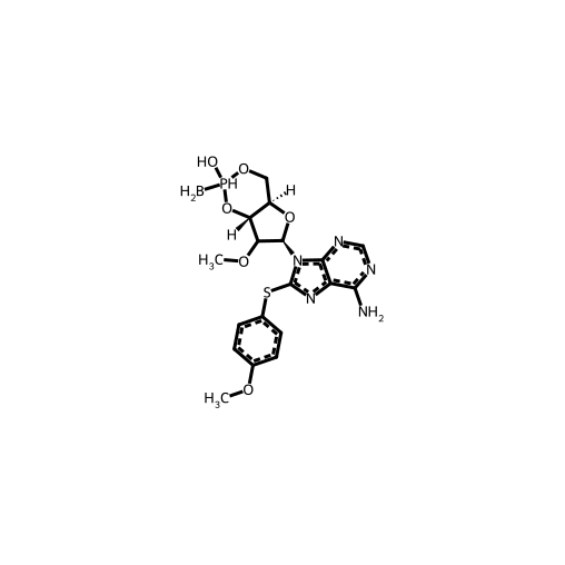 B[PH]1(O)OC[C@H]2O[C@@H](n3c(Sc4ccc(OC)cc4)nc4c(N)ncnc43)C(OC)[C@@H]2O1